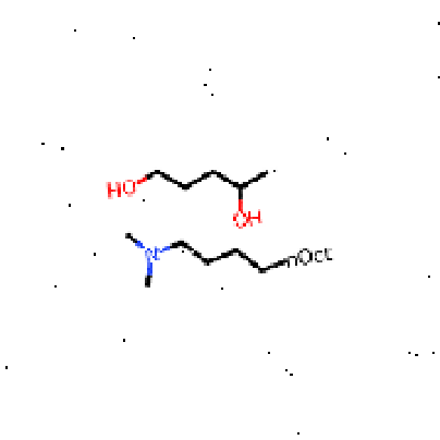 CCCCCCCCCCCCN(C)C.[CH2]C(O)CCCO